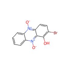 [O-][n+]1c2ccccc2[n+]([O-])c2c(O)c(Br)ccc21